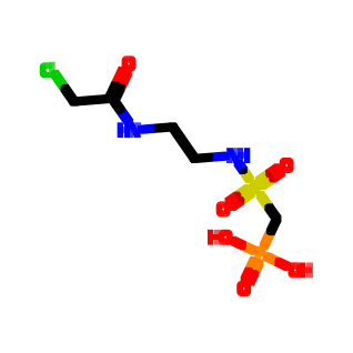 O=C(CCl)NCCNS(=O)(=O)CP(=O)(O)O